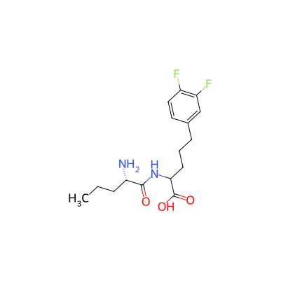 CCC[C@H](N)C(=O)NC(CCCc1ccc(F)c(F)c1)C(=O)O